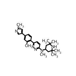 CN(c1ccc(-c2ccc(-c3cnn(C)c3)cc2O)nn1)C1CC(C)(C)NC(C)(C)C1